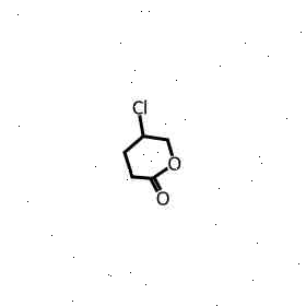 O=C1CCC(Cl)CO1